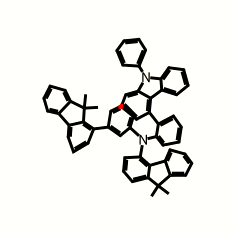 CC1(C)c2ccccc2-c2c(N(c3cccc(-c4cccc5c4C(C)(C)c4ccccc4-5)c3)c3ccccc3-c3cccc4c3c3ccccc3n4-c3ccccc3)cccc21